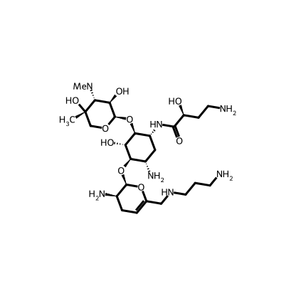 CN[C@@H]1[C@@H](O)[C@@H](O[C@@H]2[C@@H](O)[C@H](O[C@H]3OC(CNCCCN)=CC[C@H]3N)[C@@H](N)C[C@H]2NC(=O)[C@@H](O)CCN)OC[C@]1(C)O